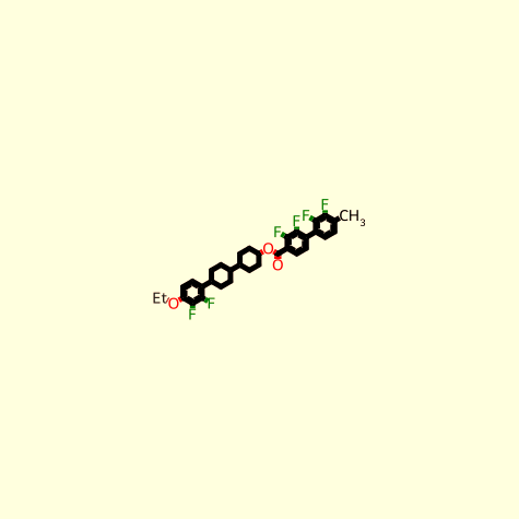 CCOc1ccc(C2CCC(C3CCC(OC(=O)c4ccc(-c5ccc(C)c(F)c5F)c(F)c4F)CC3)CC2)c(F)c1F